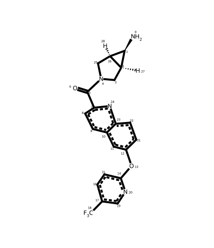 N[C@H]1[C@H]2CN(C(=O)c3ccc4cc(Oc5ccc(C(F)(F)F)cn5)ccc4n3)C[C@@H]12